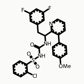 COc1ccc(-c2cccnc2C(Cc2cc(F)cc(F)c2)NC(=O)NS(=O)(=O)c2ccccc2Cl)cc1